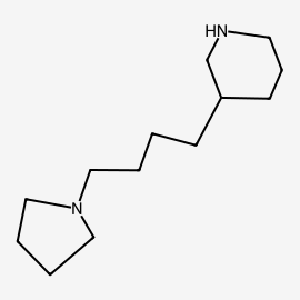 C(CCN1CCCC1)CC1CCCNC1